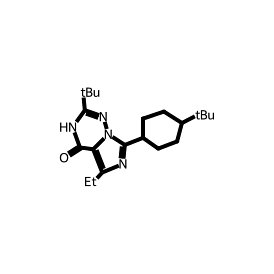 CCc1nc(C2CCC(C(C)(C)C)CC2)n2nc(C(C)(C)C)[nH]c(=O)c12